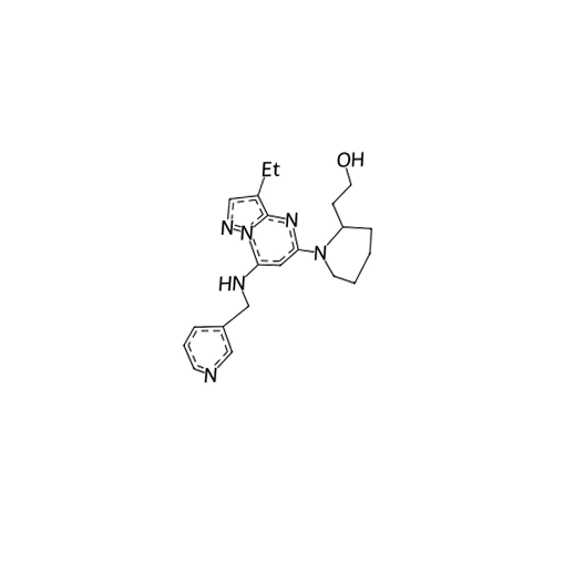 CCc1cnn2c(NCc3cccnc3)cc(N3CCCCC3CCO)nc12